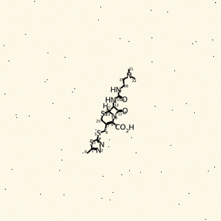 Cc1nnc(SCC2=C(C(=O)O)N3C(=O)C(NC(=O)NCCN(C)C)[C@H]3SC2)s1